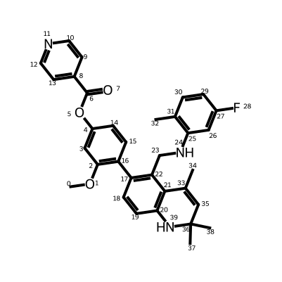 COc1cc(OC(=O)c2ccncc2)ccc1-c1ccc2c(c1CNc1cc(F)ccc1C)C(C)=CC(C)(C)N2